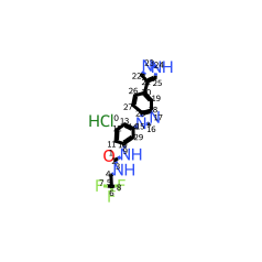 Cl.O=C(NCC(F)(F)F)Nc1cccc(-n2cnc3cc(-c4cn[nH]c4)ccc32)c1